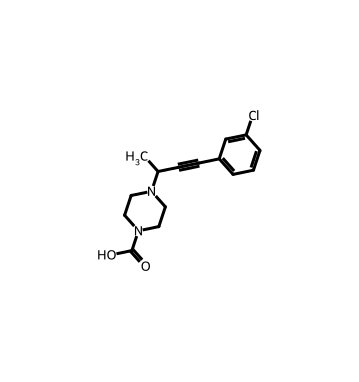 CC(C#Cc1cccc(Cl)c1)N1CCN(C(=O)O)CC1